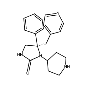 O=C1NC[C@@](Cc2ccncc2)(c2ccccc2)N1C1CCNCC1